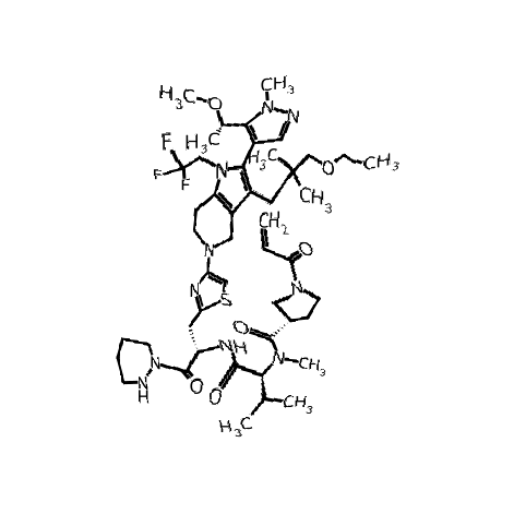 C=CC(=O)N1CC[C@H](C(=O)N(C)[C@H](C(=O)N[C@@H](Cc2nc(N3CCc4c(c(CC(C)(C)COCC)c(-c5cnn(C)c5[C@H](C)OC)n4CC(F)(F)F)C3)cs2)C(=O)N2CCCCN2)C(C)C)C1